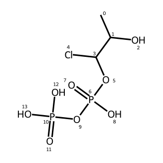 CC(O)C(Cl)OP(=O)(O)OP(=O)(O)O